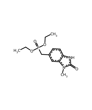 CCOP(=O)(Cc1ccc2[nH]c(=O)n(C)c2c1)OCC